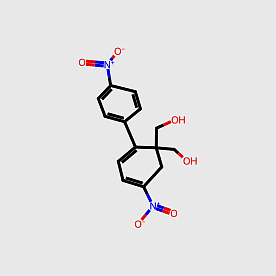 O=[N+]([O-])C1=CC=C(c2ccc([N+](=O)[O-])cc2)C(CO)(CO)C1